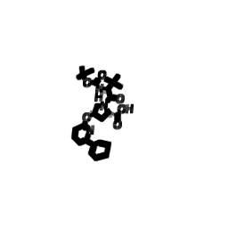 CC(C)(C)OC(=O)N[C@H](C(=O)N1C[C@H](Oc2cccc(-c3ccccc3)n2)C[C@H]1C(=O)O)C(C)(C)C